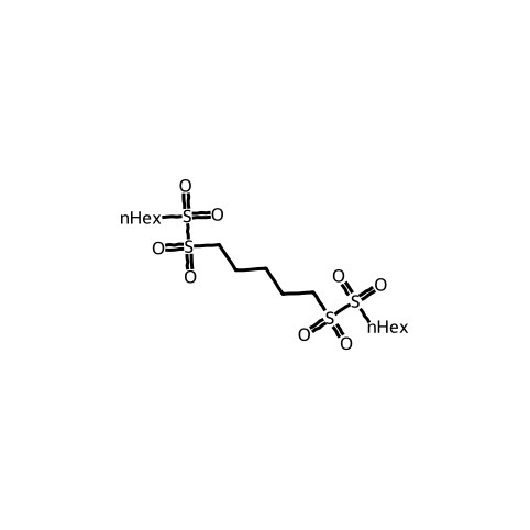 CCCCCCS(=O)(=O)S(=O)(=O)CCCCCS(=O)(=O)S(=O)(=O)CCCCCC